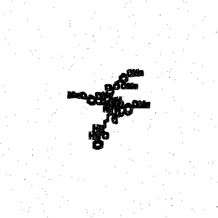 COc1ccc(COC(=O)CCC(NC(=O)NC(CCCCNC(=O)Nc2ccccc2)C(=O)OCc2ccc(OC)cc2OC)C(=O)OCc2ccc(OC)cc2OC)c(OC)c1